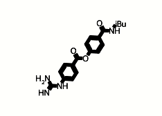 CCC(C)NC(=O)c1ccc(OC(=O)c2ccc(NC(=N)N)cc2)cc1